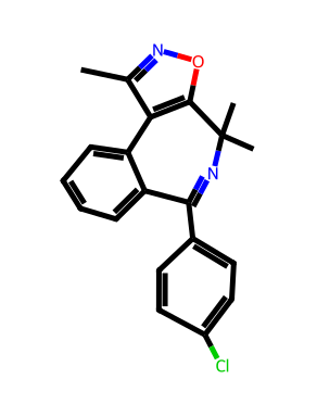 Cc1noc2c1-c1ccccc1C(c1ccc(Cl)cc1)=NC2(C)C